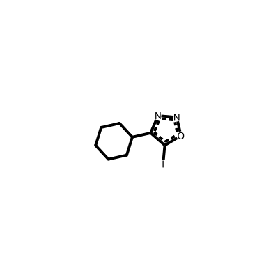 Ic1onnc1C1CCCCC1